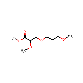 COCCCOCC(OC)C(=O)OC